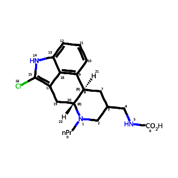 CCCN1CC(CNC(=O)O)C[C@@H]2c3cccc4[nH]c(Cl)c(c34)C[C@H]21